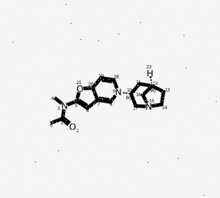 CC(=O)N(C)C1=CC2=CN([C@@H]3C[C@H]4CCN(C4)C3)C=CC2O1